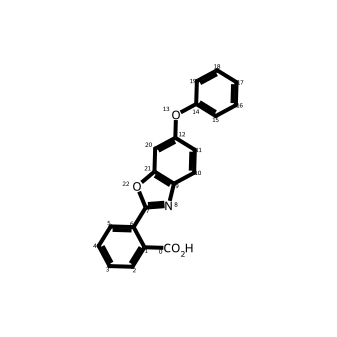 O=C(O)c1ccccc1-c1nc2ccc(Oc3ccccc3)cc2o1